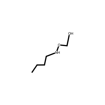 CCCCNOCO